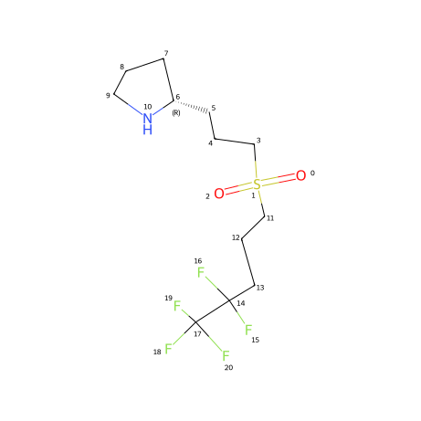 O=S(=O)(CCC[C@H]1CCCN1)CCCC(F)(F)C(F)(F)F